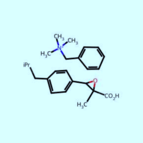 CC(C)Cc1ccc(C2OC2(C)C(=O)O)cc1.C[N+](C)(C)Cc1ccccc1